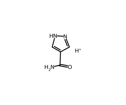 NC(=O)c1cn[nH]c1.[H+]